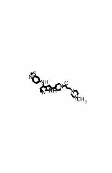 CN1CCN(CCC(=O)N2CC=C(c3cc4c(Nc5ccc6ncsc6c5)ccnc4[nH]3)CC2)CC1